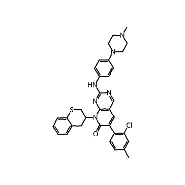 Cc1ccc(-c2cc3cnc(Nc4ccc(N5CCN(C)CC5)cc4)nc3n(C3CSc4ccccc4C3)c2=O)c(Cl)c1